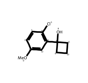 COc1ccc(Cl)c(C2(O)CCC2)c1